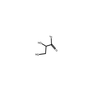 [2H]C(=O)C(O)CO